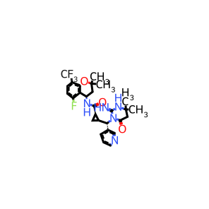 CC1(C)CC(=O)N([C@H](c2cccnc2)C2C[C@H]2C(=O)N[C@@H]2CC(C)(C)Oc3c(C(F)(F)F)ccc(F)c32)C(=N)N1